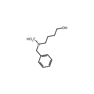 O=C(O)N(CCCCO)Cc1ccccc1